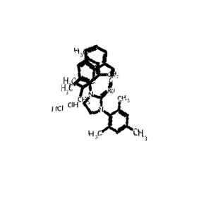 Cc1cc(C)c(N2CCN(c3c(C)cc(C)cc3C)[C]2=[Ru]=[C]=Cc2ccccc2OC(C)C)c(C)c1.Cl.Cl